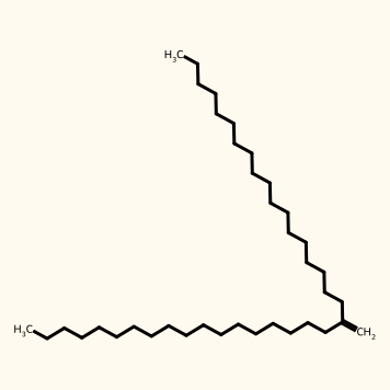 C=C(CCCCCCCCCCCCCCCCCC)CCCCCCCCCCCCCCCCCC